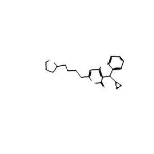 O=c1oc(CCCCC2CCCO2)cc(O)c1C(c1ccccc1)C1CC1